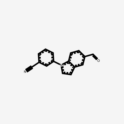 N#Cc1cccc(-n2ccc3cc(C=O)ccc32)c1